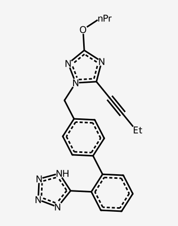 CCC#Cc1nc(OCCC)nn1Cc1ccc(-c2ccccc2-c2nnn[nH]2)cc1